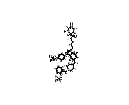 CC1(C(=O)NCCCn2cc(-c3ccc(OC(F)(F)F)cc3)c3cc(CN4CCN(Cc5ccccc5OC(F)(F)F)CC4)ccc32)CCNCN1